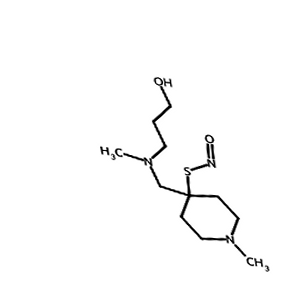 CN1CCC(CN(C)CCCO)(SN=O)CC1